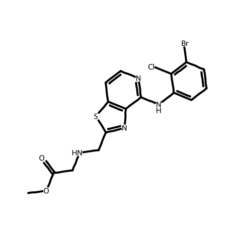 COC(=O)CNCc1nc2c(Nc3cccc(Br)c3Cl)nccc2s1